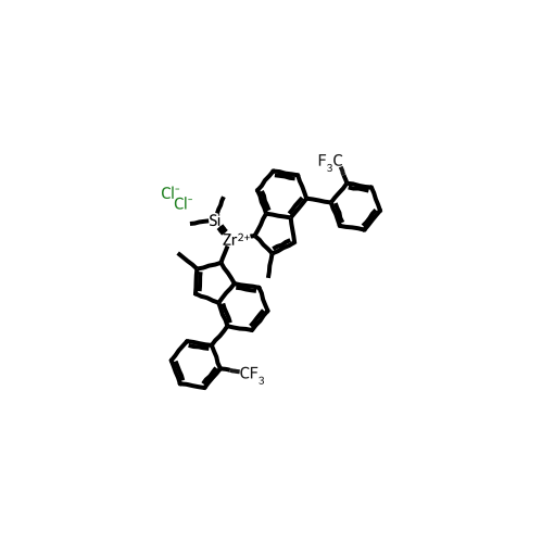 CC1=Cc2c(-c3ccccc3C(F)(F)F)cccc2[CH]1[Zr+2]([CH]1C(C)=Cc2c(-c3ccccc3C(F)(F)F)cccc21)=[Si](C)C.[Cl-].[Cl-]